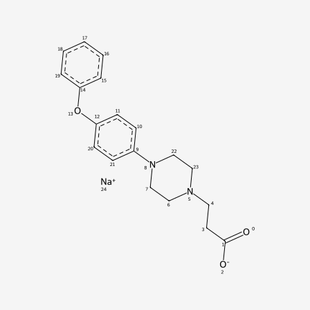 O=C([O-])CCN1CCN(c2ccc(Oc3ccccc3)cc2)CC1.[Na+]